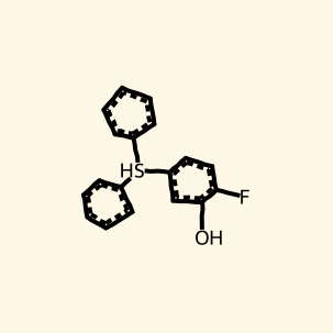 Oc1cc([SH](c2ccccc2)c2ccccc2)ccc1F